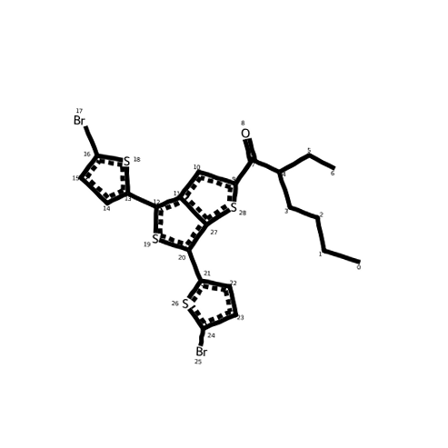 CCCCC(CC)C(=O)c1cc2c(-c3ccc(Br)s3)sc(-c3ccc(Br)s3)c2s1